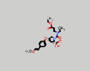 CCOC(=O)CCN(CC)C(=O)N1C[C@@H](Oc2ccc(C=COC)cc2)C[C@H]1C(=O)O